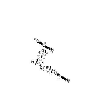 C.C.C.C.C.C.C.C.C.N=C=O.N=C=O